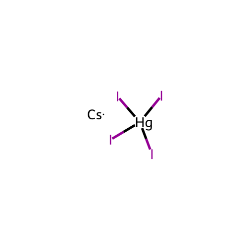 [Cs].[I][Hg]([I])([I])[I]